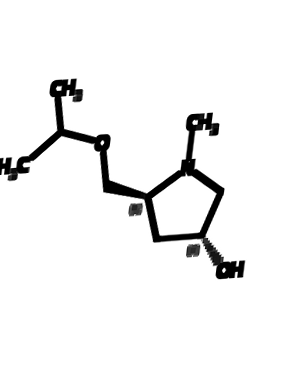 CC(C)OC[C@@H]1C[C@@H](O)CN1C